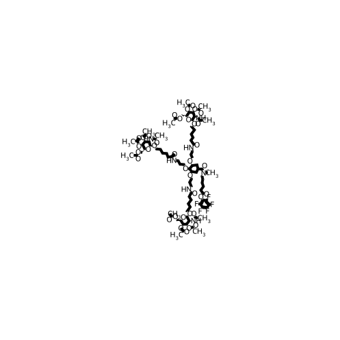 CC(=O)N[C@H]1[C@H](OCCCCCC(=O)NCCCOC2[C@H](OCCCNC(=O)CCCCCO[C@@H]3O[C@H](COC(C)=O)[C@H](OC(C)=O)[C@H](OC(C)=O)[C@H]3NC(C)=O)CC(C(=O)N(C)CCCCCC(=O)Oc3c(F)c(F)c(F)c(F)c3F)C[C@H]2OCCCNC(=O)CCCCCO[C@@H]2O[C@H](COC(C)=O)[C@H](OC(C)=O)[C@H](OC(C)=O)[C@H]2NC(C)=O)O[C@H](COC(C)=O)[C@H](OC(C)=O)[C@@H]1OC(C)=O